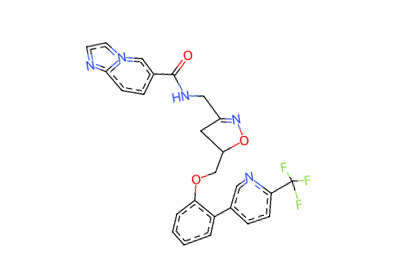 O=C(NCC1=NOC(COc2ccccc2-c2ccc(C(F)(F)F)nc2)C1)c1ccc2nccn2c1